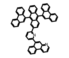 c1cc(-c2ccc3c(-c4cc5ccccc5c5ccccc45)c4ccccc4c(-c4cc5ccccc5c5ccccc45)c3c2)nc(-c2cc3ncccc3c3ccccc23)c1